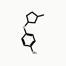 CC1CCC(Oc2ccc(C(C)(C)C)cc2)C1